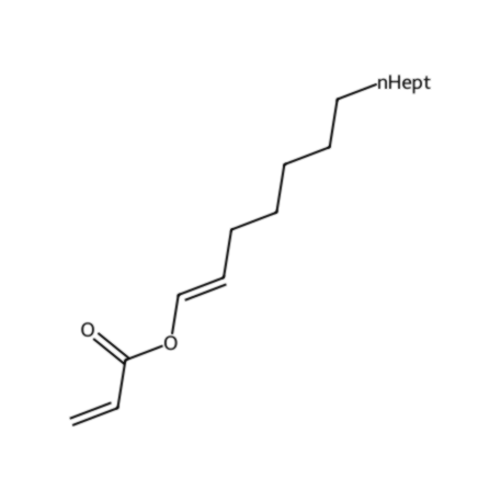 C=CC(=O)O/C=C/CCCCCCCCCCCC